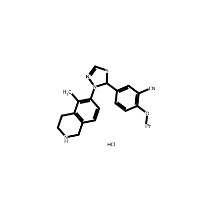 Cc1c(N2N=CSC2c2ccc(OC(C)C)c(C#N)c2)ccc2c1CCNC2.Cl